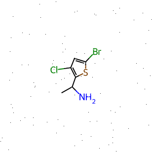 CC(N)c1sc(Br)cc1Cl